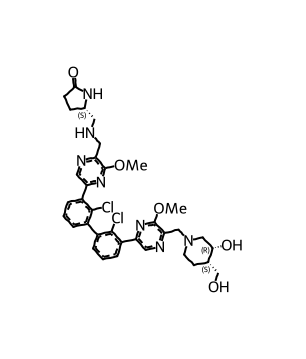 COc1nc(-c2cccc(-c3cccc(-c4cnc(CN5CC[C@@H](CO)[C@@H](O)C5)c(OC)n4)c3Cl)c2Cl)cnc1CNC[C@@H]1CCC(=O)N1